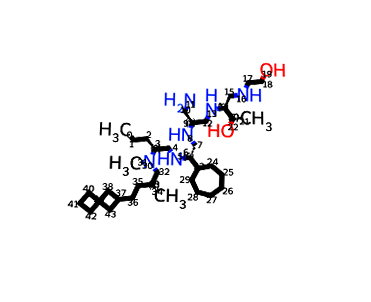 CCC[C@@H](CN[C@H](CN[C@@H](CN)CN[C@@H](CNCCO)[C@H](C)O)C1CCCCCC1)N(C)C[C@H](C)CCC1CC2(CCC2)C1